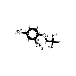 CC(C)c1ccc(OCC(C)(F)F)c(C(F)(F)F)c1